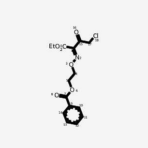 CCOC(=O)/C(=N\OCCOC(=O)c1ccccc1)C(=O)CCl